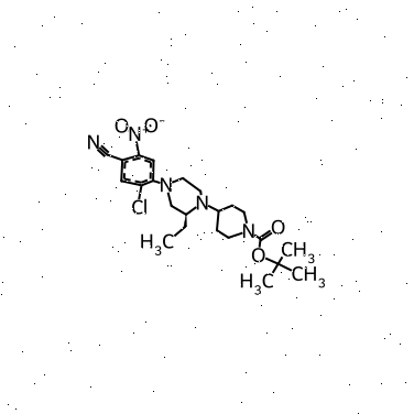 CC[C@H]1CN(c2cc([N+](=O)[O-])c(C#N)cc2Cl)CCN1C1CCN(C(=O)OC(C)(C)C)CC1